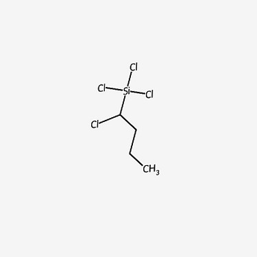 CCCC(Cl)[Si](Cl)(Cl)Cl